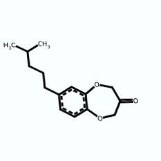 CC(C)CCCc1ccc2c(c1)OCC(=O)CO2